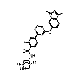 Cc1cc(-c2cc(Oc3ccc4c(C)nn(C)c4c3)ccn2)ccc1C(=O)N[C@H]1C[C@@H]2C[C@H]1CN2